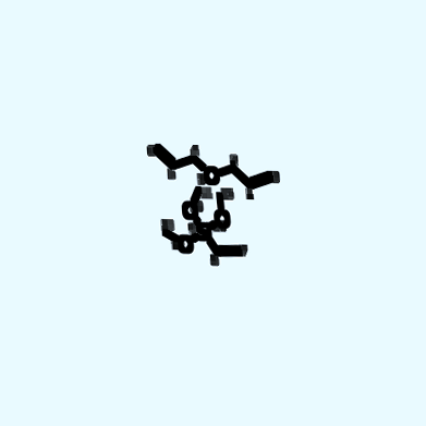 C=CCOCC=C.C=C[Si](OC)(OC)OC